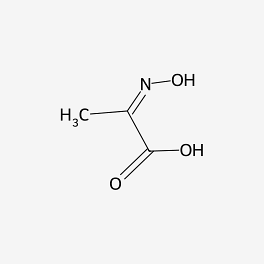 CC(=NO)C(=O)O